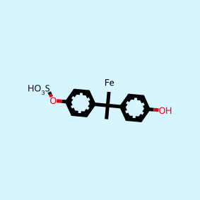 CC(C)(c1ccc(O)cc1)c1ccc(OS(=O)(=O)O)cc1.[Fe]